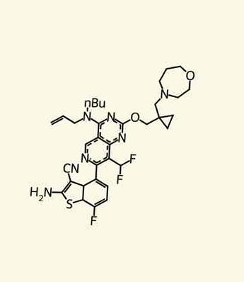 C=CCN(CCCC)c1nc(OCC2(CN3CCCOCC3)CC2)nc2c(C(F)F)c(C3=CC=C(F)C4SC(N)=C(C#N)C34)ncc12